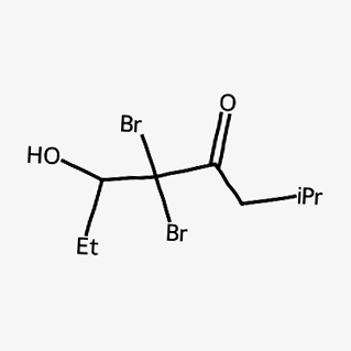 CCC(O)C(Br)(Br)C(=O)CC(C)C